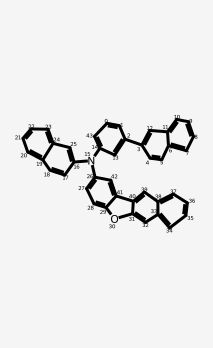 c1cc(-c2ccc3ccccc3c2)cc(N(c2ccc3ccccc3c2)c2ccc3oc4cc5ccccc5cc4c3c2)c1